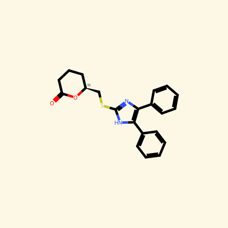 O=C1CCC[C@@H](CSc2nc(-c3ccccc3)c(-c3ccccc3)[nH]2)O1